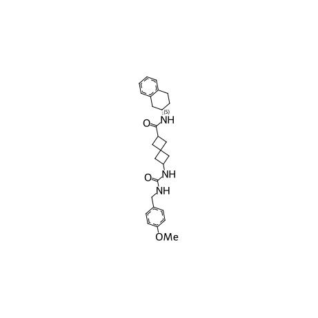 COc1ccc(CNC(=O)NC2CC3(C2)CC(C(=O)N[C@H]2CCc4ccccc4C2)C3)cc1